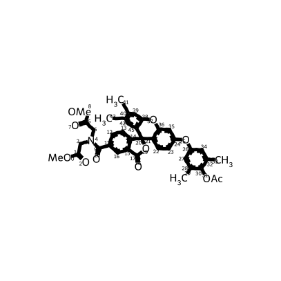 COC(=O)CN(CC(=O)OC)C(=O)c1ccc2c(c1)C(=O)OC21c2ccc(Oc3cc(C)c(OC(C)=O)c(C)c3)cc2Oc2cc(C)c(C)cc21